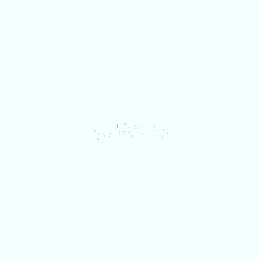 Cc1c(-c2nc(Nc3ccc(C4CCC5CN(C)C(=O)CN54)cn3)ncc2F)sc2c1nc(C)n2C(C)C